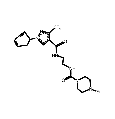 CCN1CCN(C(=O)NCCNC(=O)c2cn(C3C=CC=CC3)nc2C(F)(F)F)CC1